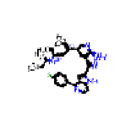 C=C/C(=C\C(=C/C)c1cnc2[nH]nc(-c3cc4c(-c5ccc(F)cc5)nccc4[nH]3)c2c1)NC(=C)CC(C)(C)C